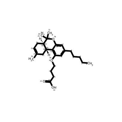 CCCCCc1cc(OCCCC(=O)O)c2c(c1)OC(C)(C)[C@@H]1CC=C(C)C[C@@H]21